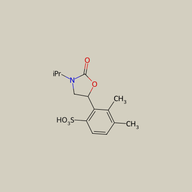 Cc1ccc(S(=O)(=O)O)c(C2CN(C(C)C)C(=O)O2)c1C